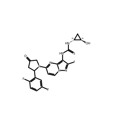 O=C1CC(c2cc(F)ccc2F)N(c2ccn3nc(F)c(NC(=S)N[C@@H]4C[C@H]4O)c3n2)C1